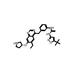 C=C(Nc1cccc(Cc2ncnc3cc(O[C@@H]4CCNC4)c(CC)cc23)c1)Nc1cc(C(C)(C)C)on1